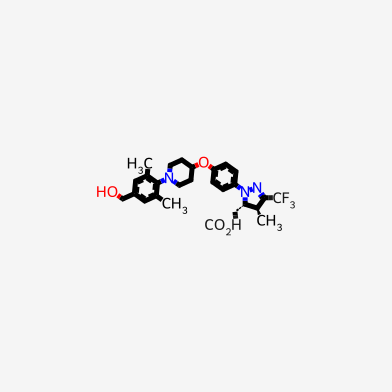 Cc1cc(CO)cc(C)c1N1CCC(Oc2ccc(N3N=C(C(F)(F)F)[C@@H](C)[C@@H]3CC(=O)O)cc2)CC1